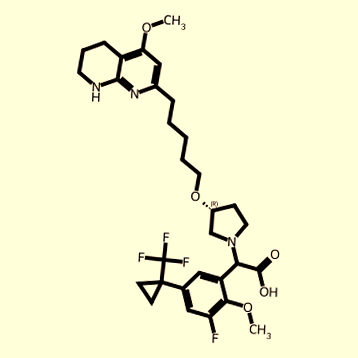 COc1cc(CCCCCO[C@@H]2CCN(C(C(=O)O)c3cc(C4(C(F)(F)F)CC4)cc(F)c3OC)C2)nc2c1CCCN2